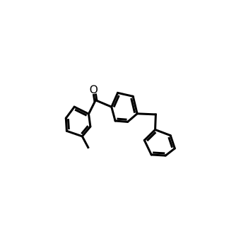 Cc1cccc(C(=O)c2ccc(Cc3ccccc3)cc2)c1